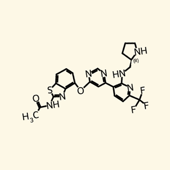 CC(=O)Nc1nc2c(Oc3cc(-c4ccc(C(F)(F)F)nc4NC[C@H]4CCCN4)ncn3)cccc2s1